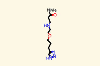 CNC(=O)CCNCCOCCCc1c[nH]nn1